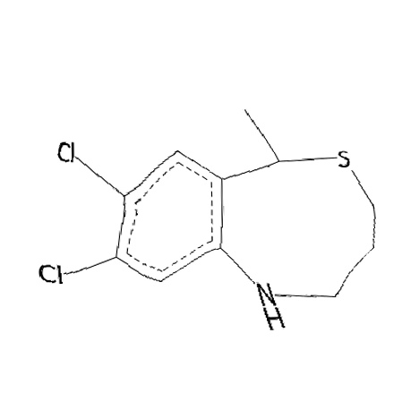 CC1SCCCNc2cc(Cl)c(Cl)cc21